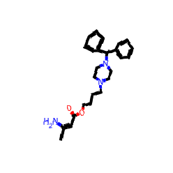 CC(N)=CC(=O)OCCCCN1CCN(C(c2ccccc2)c2ccccc2)CC1